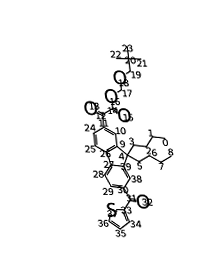 CCCCC1(CCCC)c2cc(C(=O)C(=O)OCOCC(C)(C)C)ccc2-c2ccc(C(=O)c3cccs3)cc21